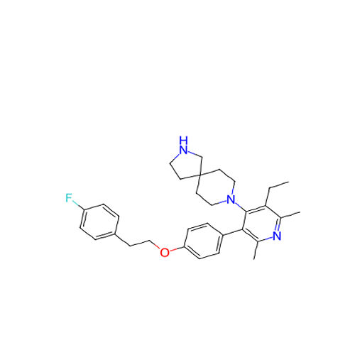 CCc1c(C)nc(C)c(-c2ccc(OCCc3ccc(F)cc3)cc2)c1N1CCC2(CCNC2)CC1